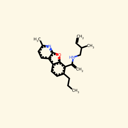 C=CC(C)CNC(=C)c1c(CCC)ccc2c1oc1nc(C)ccc12